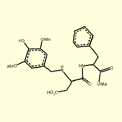 COC(=O)C(Cc1ccccc1)NC(=O)C(CC(=O)O)NCc1cc(OC)c(O)c(OC)c1